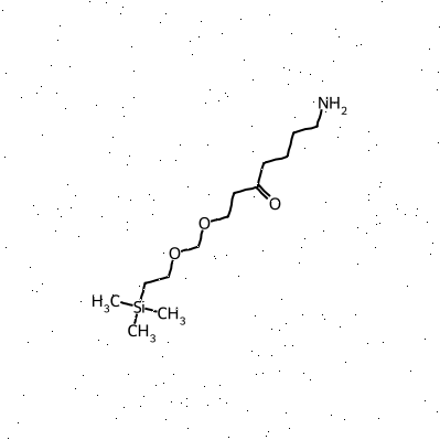 C[Si](C)(C)CCOCOCCC(=O)CCCCN